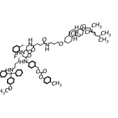 COc1ccc(C(NCCCC[C@H](NC(=O)[C@H](Cc2cccc(F)c2)NC(=O)CCC(=O)NCCCO[C@H]2CC[C@@]3(C)C(=CC[C@H]4[C@@H]5CC[C@H]([C@H](C)CCCC(C)C)[C@@]5(C)CC[C@@H]43)C2)C(=O)Nc2ccc(COC(=O)Oc3ccc(C)cc3)cc2)(c2ccccc2)c2ccccc2)cc1